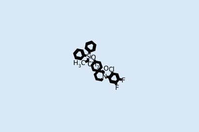 C=C(C)[Si](OC1CCC2(CCCN(c3cc(F)c(F)cc3Cl)C2=O)CC1)(c1ccccc1)c1ccccc1